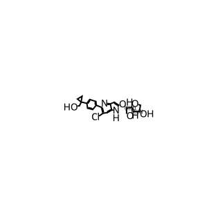 OCC1(c2ccc(-c3nc4cc(O[C@H]5CO[C@H]6[C@@H]5OC[C@H]6O)[nH]c4cc3Cl)cc2)CC1